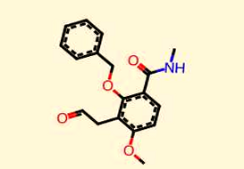 CNC(=O)c1ccc(OC)c(CC=O)c1OCc1ccccc1